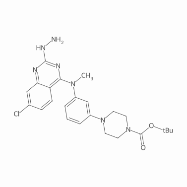 CN(c1cccc(N2CCN(C(=O)OC(C)(C)C)CC2)c1)c1nc(NN)nc2cc(Cl)ccc12